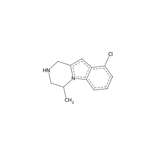 CC1CNCc2cc3c(Cl)cccc3n21